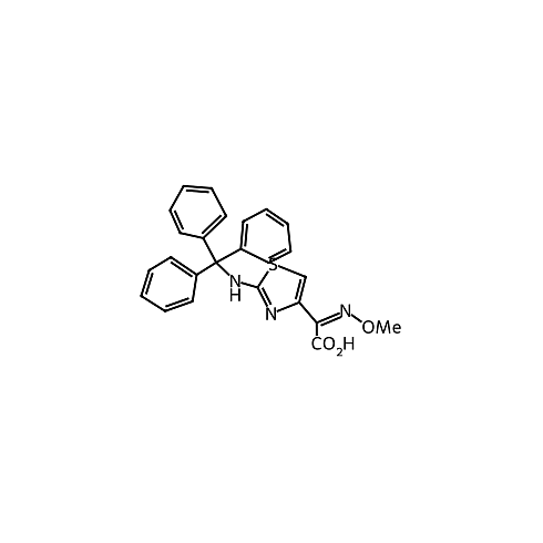 CO/N=C(\C(=O)O)c1csc(NC(c2ccccc2)(c2ccccc2)c2ccccc2)n1